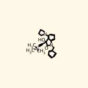 C[Si](C)(C)C#CC1(O)C(=O)N(Cc2ccccc2)c2cccc(N3CCCC3)c21